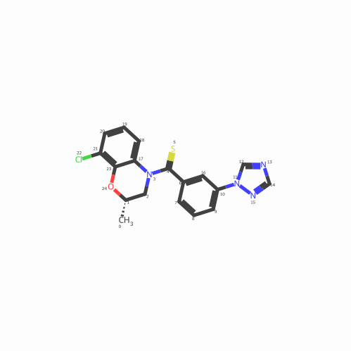 C[C@H]1CN(C(=S)c2cccc(-n3cncn3)c2)c2cccc(Cl)c2O1